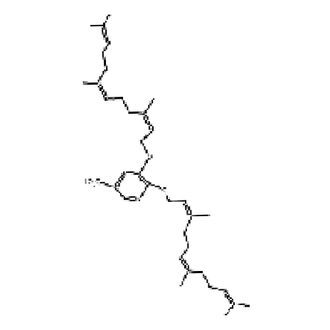 CC(C)=CCCC(C)=CCCC(C)=CCOc1ccc(C(=O)O)cc1OCC=C(C)CCC=C(C)CCC=C(C)C